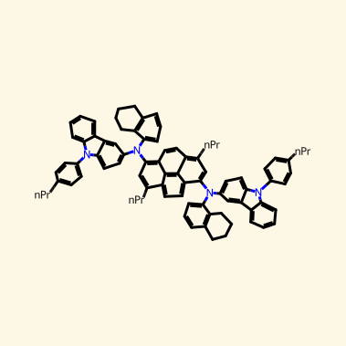 CCCc1ccc(-n2c3ccccc3c3cc(N(c4cccc5c4CCCC5)c4cc(CCC)c5ccc6c(N(c7ccc8c(c7)c7ccccc7n8-c7ccc(CCC)cc7)c7cccc8c7CCCC8)cc(CCC)c7ccc4c5c76)ccc32)cc1